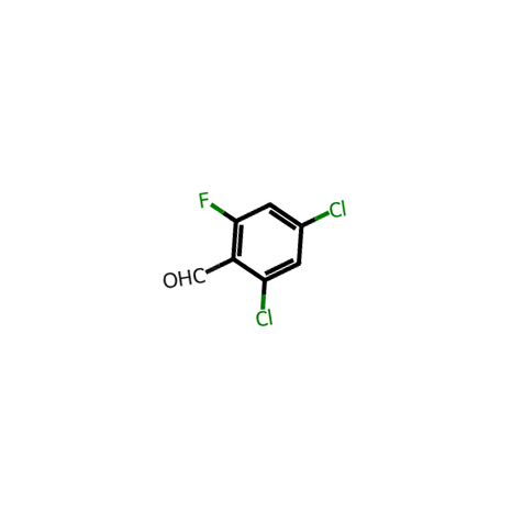 O=Cc1c(F)cc(Cl)cc1Cl